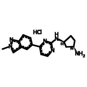 Cl.Cn1cc2cc(-c3ccnc(N[C@H]4CC[C@H](N)C4)n3)ccc2n1